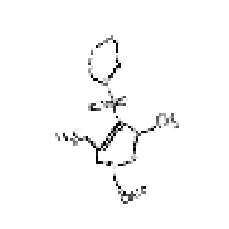 COc1cc(C)c(S(=O)(=O)N2CCOCC2)c(C)c1